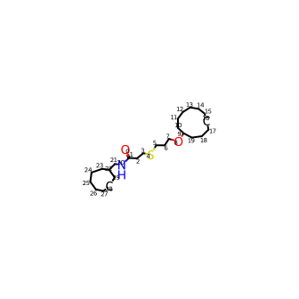 O=C(CCSCCCOC1CCCCCCCCCC1)NCC1CCCCCCC1